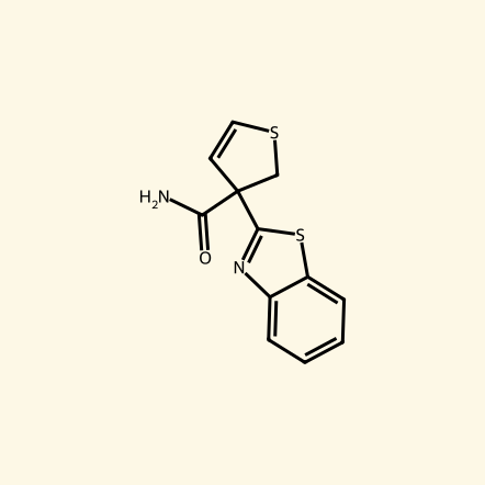 NC(=O)C1(c2nc3ccccc3s2)C=CSC1